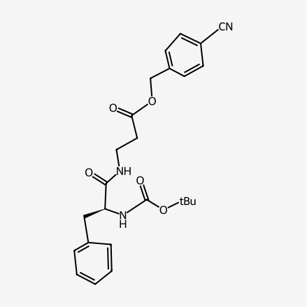 CC(C)(C)OC(=O)N[C@@H](Cc1ccccc1)C(=O)NCCC(=O)OCc1ccc(C#N)cc1